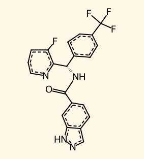 O=C(N[C@@H](c1ccc(C(F)(F)F)cc1)c1ncccc1F)c1ccc2cn[nH]c2c1